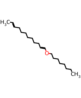 CC=CCCCCCCCC=COCCCCCCCC